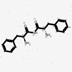 N[C@@H](Cc1ccccc1)C(=O)NC(=O)[C@@H](N)Cc1ccccc1